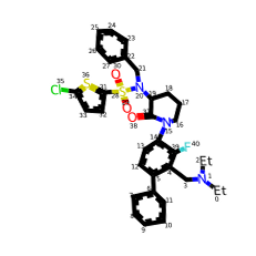 CCN(CC)Cc1c(-c2ccccc2)ccc(N2CCCC(N(Cc3ccccc3)S(=O)(=O)c3ccc(Cl)s3)C2=O)c1F